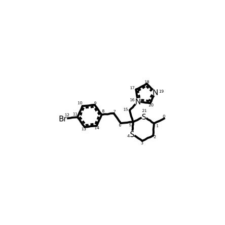 CC1CCSC(CCc2ccc(Br)cc2)(Cn2ccnc2)S1